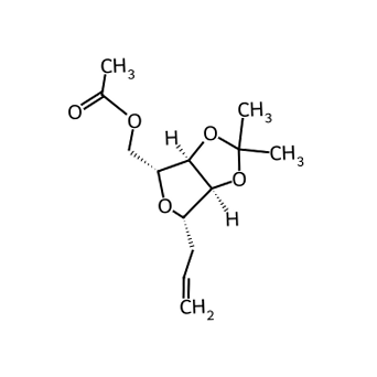 C=CC[C@@H]1O[C@H](COC(C)=O)[C@H]2OC(C)(C)O[C@H]21